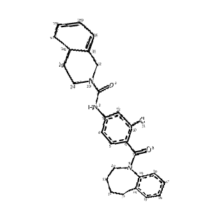 O=C(Nc1ccc(C(=O)N2CCCCc3ccccc32)c(Cl)c1)N1CCC2CC=CC=C2C1